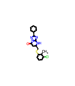 Cc1c(Cl)cccc1SCc1cc(=O)n2nc(-c3ccccc3)nc2[nH]1